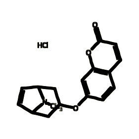 CN1C2C=CC1CC(Oc1ccc3ccc(=O)oc3c1)C2.Cl